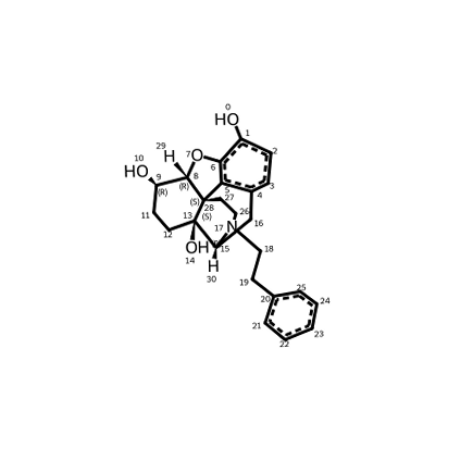 Oc1ccc2c3c1O[C@H]1[C@H](O)CC[C@@]4(O)[C@@H](C2)N(CCc2ccccc2)CC[C@]314